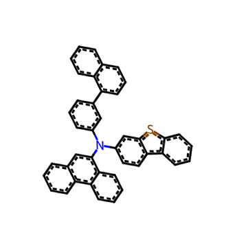 c1cc(-c2cccc3ccccc23)cc(N(c2ccc3c(c2)sc2ccccc23)c2cc3ccccc3c3ccccc23)c1